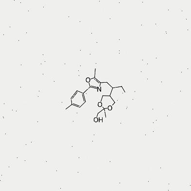 CCC(Cc1nc(-c2ccc(C)cc2)oc1C)C1COC(C)(CO)OC1